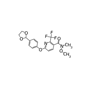 CON(C)C(=O)c1ccc(Oc2ccc(C3OCCO3)cc2)nc1C(F)(F)F